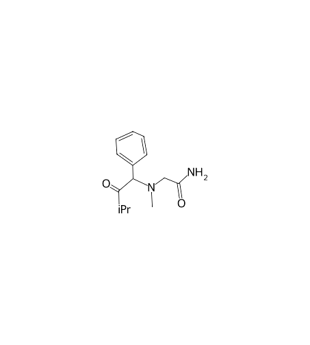 CC(C)C(=O)C(c1ccccc1)N(C)CC(N)=O